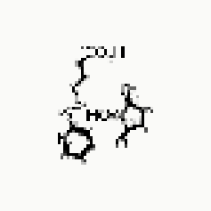 O=C(O)CCCSSc1ccccn1.O=C1CCC(=O)N1O